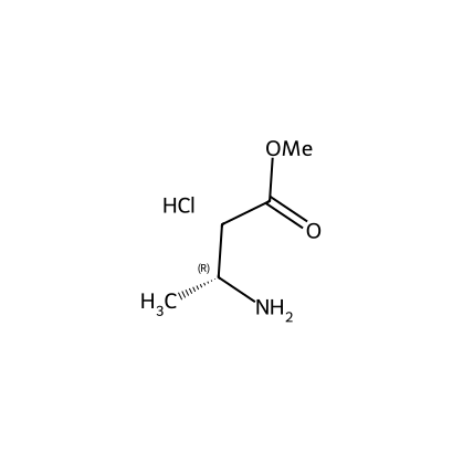 COC(=O)C[C@@H](C)N.Cl